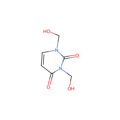 O=c1ccn(CO)c(=O)n1CO